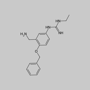 CCNC(=N)Nc1ccc(OCc2ccccc2)c(CN)c1